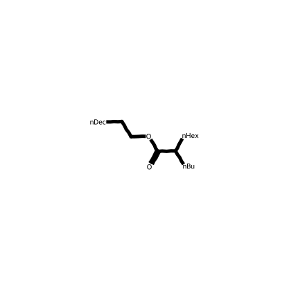 CCCCCCCCCCCCOC(=O)C(CCCC)CCCCCC